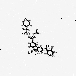 C=C(C)CC/C(=N\OC(=O)C(C)(C)N1CCOCC1)c1ccc2c(c1)c1cc(C(=O)c3ccccc3C)ccc1n2CC